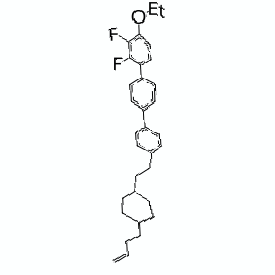 C=CCCC1CCC(CCc2ccc(-c3ccc(-c4ccc(OCC)c(F)c4F)cc3)cc2)CC1